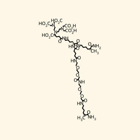 C[C@@H](CCCCNC(=O)COCCOCCNC(=O)COCCOCCNC(=O)CCCC(=O)N[C@@H](CCCCNC(=O)CC[C@@H](C(=O)O)N(CCN(CC(=O)O)CC(=O)O)CCN(CC(=O)O)CC(=O)O)C(=O)NCCCC[C@H](C)C(N)=O)C(N)=O